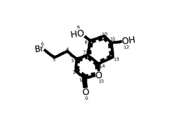 O=c1cc(CCBr)c2c(O)cc(O)cc2o1